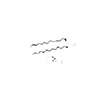 CCCCCCCCCCCCC(=O)O.CCCCCCCCCCCCC(=O)O.O=P(O)(O)O